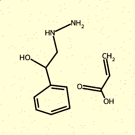 C=CC(=O)O.NNCC(O)c1ccccc1